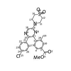 COC(=O)c1ccc(-c2nc(N3CCS(=O)(=O)CC3)cnc2-c2ccc(Cl)cc2)c(C)c1